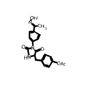 CC(=O)Oc1ccc(CC2NC(=O)N(c3ccc(C(C)=NO)cc3)C2=O)cc1